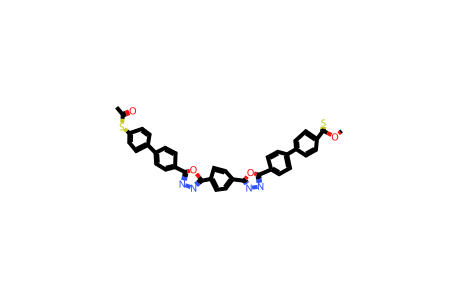 COC(=S)c1ccc(-c2ccc(-c3nnc(-c4ccc(-c5nnc(-c6ccc(-c7ccc(SC(C)=O)cc7)cc6)o5)cc4)o3)cc2)cc1